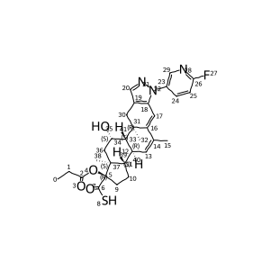 CCC(=O)O[C@]1(C(=O)S)CC[C@H]2[C@@H]3C=C(C)C4=Cc5c(cnn5-c5ccc(F)nc5)C[C@]4(C)[C@H]3[C@@H](O)C[C@@]21C